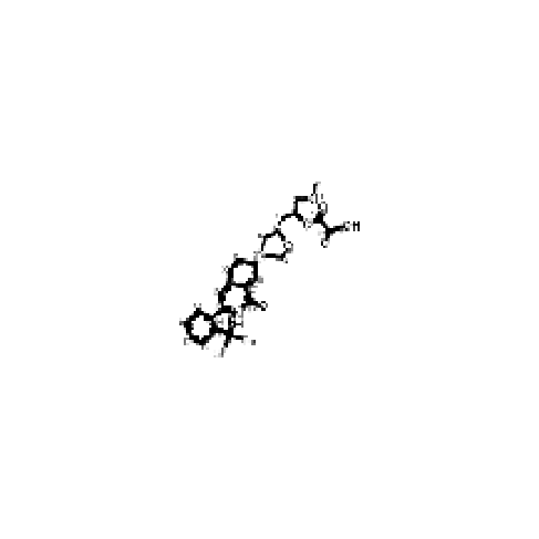 COCC(C[C@H]1CN(c2ccc3cc(-c4ccccc4C(F)(F)F)[nH]c(=O)c3c2)CO1)OC(=O)C(=O)O